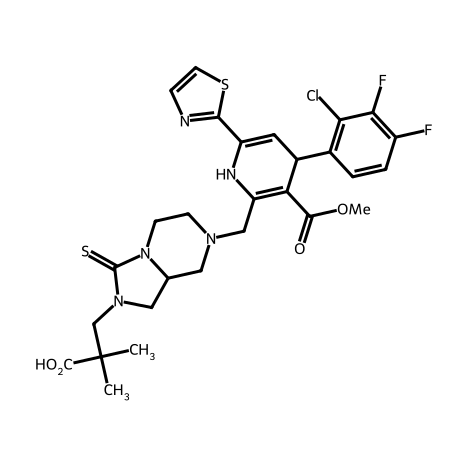 COC(=O)C1=C(CN2CCN3C(=S)N(CC(C)(C)C(=O)O)CC3C2)NC(c2nccs2)=CC1c1ccc(F)c(F)c1Cl